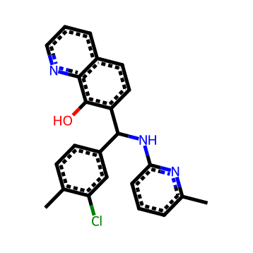 Cc1cccc(NC(c2ccc(C)c(Cl)c2)c2ccc3cccnc3c2O)n1